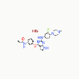 Br.C=CC(=O)Nc1cccc(Oc2nc(Nc3ccc(N4CCN(C)CC4)c(F)c3)nc3[nH]ccc23)c1